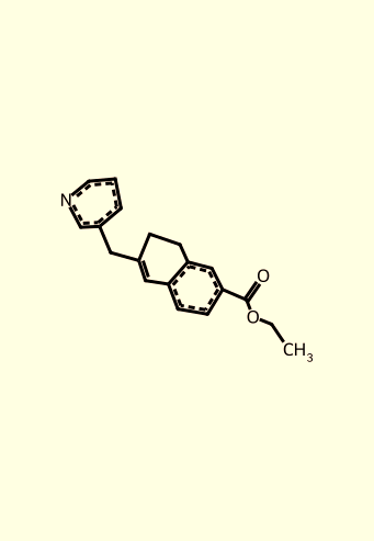 CCOC(=O)c1ccc2c(c1)CCC(Cc1cccnc1)=C2